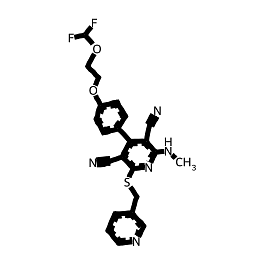 CNc1nc(SCc2cccnc2)c(C#N)c(-c2ccc(OCCOC(F)F)cc2)c1C#N